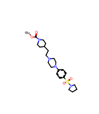 CC(C)(C)OC(=O)N1CCC(CCN2CCN(c3ccc(S(=O)(=O)N4CCCC4)cc3)CC2)CC1